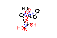 COC(=O)N[C@@H](Cc1cccc(-c2ccccc2)c1)C(=O)Nc1ccccc1CCC1CN(C(=O)O)C[C@@H](CO)O1